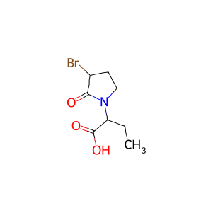 CCC(C(=O)O)N1CCC(Br)C1=O